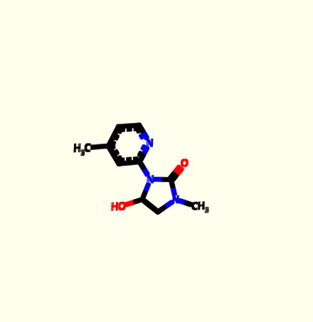 Cc1ccnc(N2C(=O)N(C)CC2O)c1